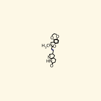 CN(Cc1cccc2c1OCCCO2)C(=O)/C=C/C1C=NC2=C(CCC(=O)N2)C1